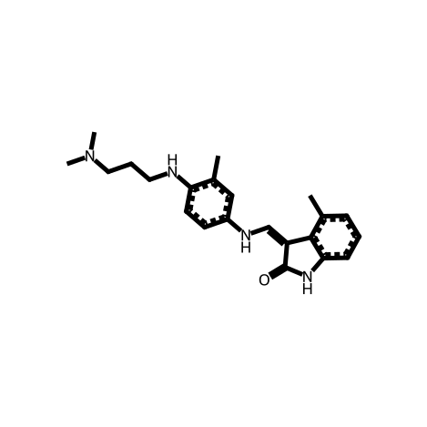 Cc1cc(NC=C2C(=O)Nc3cccc(C)c32)ccc1NCCCN(C)C